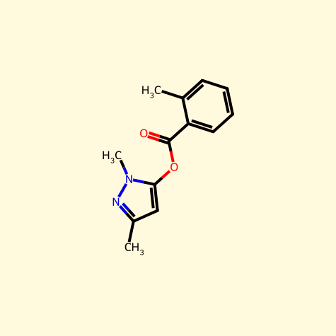 Cc1cc(OC(=O)c2ccccc2C)n(C)n1